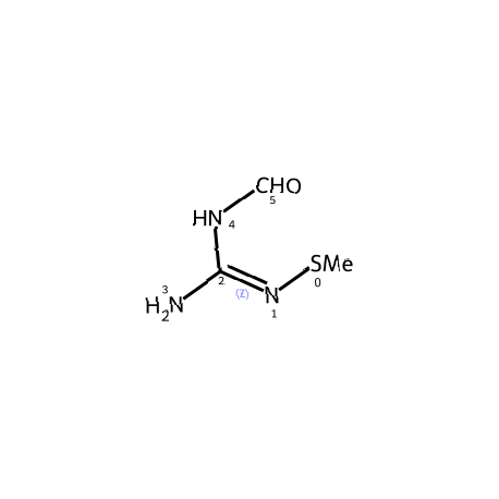 CS/N=C(/N)NC=O